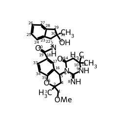 COCC1(C)CC(N2C(=N)NC(C)(C)CC2=O)c2cc(C(=O)N[C@@H]3c4ccccc4C[C@]3(C)O)ccc2O1